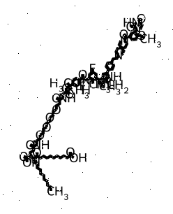 C=Nc1[nH]c(-c2ccc(CCN3CCC4(CC3)CCN(C(=O)c3ccc(OC)c(N5CCC(=O)NC5=O)c3)CC4)cc2)cc1/C(=N\C)c1cc(F)cc(NC(=O)c2ccc(C(C)(C)OC(=O)CNC(=O)CCOCCOCCOCCOCCNC(=O)CCC(C(=O)O)N(CCCCCCCCCCC)C(=O)CCCCCCCCCC(=O)O)cc2F)c1C